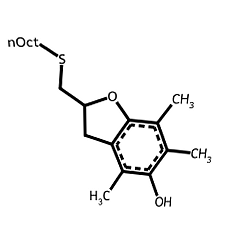 CCCCCCCCSCC1Cc2c(C)c(O)c(C)c(C)c2O1